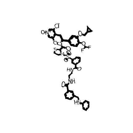 O=C(NCCNC(=O)c1cccc(S(=O)(=O)N2CCSC2C(=O)OC(Cc2c(Cl)c[n+]([O-])cc2Cl)c2ccc(OC(F)F)c(OCC3CC3)c2)c1)c1cccc(CNc2ccccc2)c1